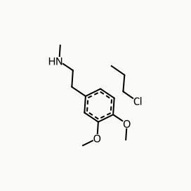 CCCCl.CNCCc1ccc(OC)c(OC)c1